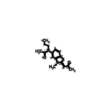 CCCN(C(C)=O)c1ccc2c(c1)N(C)/C(=C/C(C)=O)S2